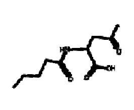 CCCCC(=O)NC(CC(C)=O)C(=O)O